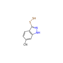 N#Cc1ccc2c(SS)n[nH]c2c1